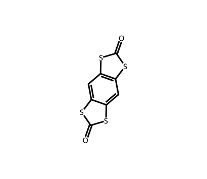 O=c1sc2cc3sc(=O)sc3cc2s1